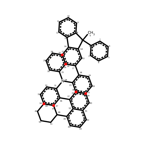 CC1(c2ccccc2)c2ccccc2-c2ccc(-c3ccccc3N(c3ccccc3)c3ccccc3-c3cccc4cccc(C5CCCCC5)c34)cc21